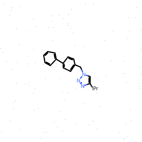 CC(C)c1cn(Cc2ccc(-c3ccccc3)cc2)nn1